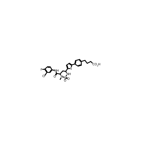 CN1C(C(=O)Nc2ccc(F)c(Cl)c2)CC(c2ccc(-c3ccc(CCCC(=O)O)cc3)s2)NS1(=O)=O